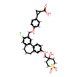 O=C(O)C1CC1c1ccc(OCc2cc3c(cc2F)CCCc2cc(OCC4(O)CCS(=O)(=O)CC4)ccc2-3)cc1